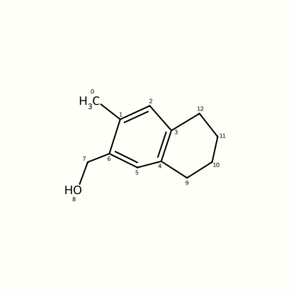 Cc1cc2c(cc1CO)CCCC2